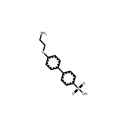 NCCOc1ccc(-c2ccc(S(=O)(=O)O)cc2)cc1